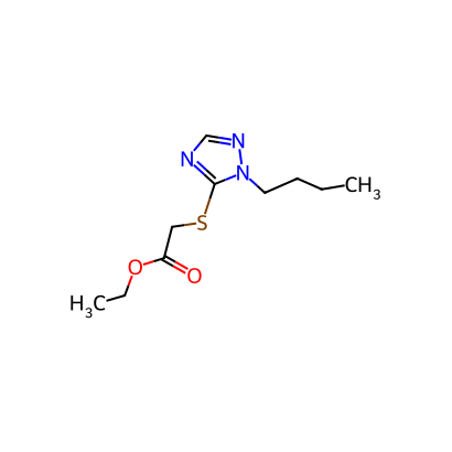 CCCCn1ncnc1SCC(=O)OCC